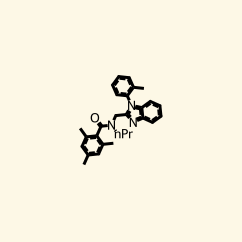 CCCN(Cc1nc2ccccc2n1-c1ccccc1C)C(=O)c1c(C)cc(C)cc1C